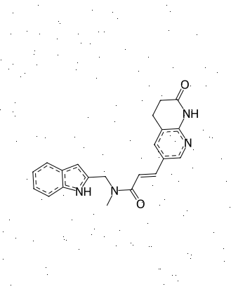 CN(Cc1cc2ccccc2[nH]1)C(=O)C=Cc1cnc2c(c1)CCC(=O)N2